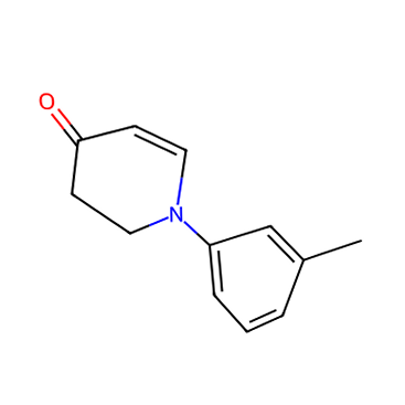 Cc1cccc(N2C=CC(=O)CC2)c1